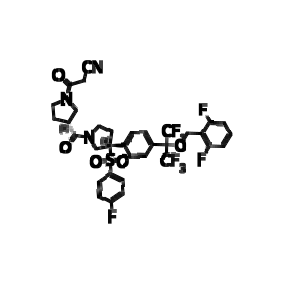 N#CCC(=O)N1CC[C@@H](C(=O)N2CC[C@](c3ccc(C(OCc4c(F)cccc4F)(C(F)(F)F)C(F)(F)F)cc3)(S(=O)(=O)c3ccc(F)cc3)C2)C1